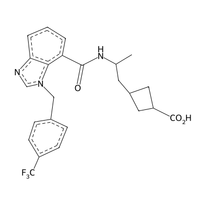 CC(CC1CC(C(=O)O)C1)NC(=O)c1cccc2ncn(Cc3ccc(C(F)(F)F)cc3)c12